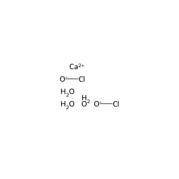 O.O.O.[Ca+2].[O-]Cl.[O-]Cl